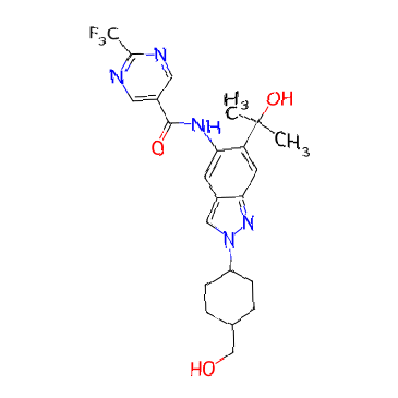 CC(C)(O)c1cc2nn(C3CCC(CO)CC3)cc2cc1NC(=O)c1cnc(C(F)(F)F)nc1